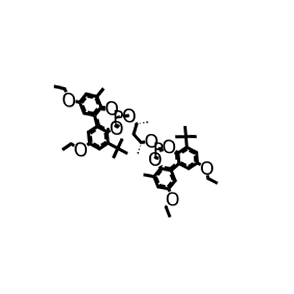 CCOc1cc(C)c2op(O[C@H](C)C[C@@H](C)Op3oc4c(C)cc(OCC)cc4c4cc(OCC)cc(C(C)(C)C)c4o3)oc3c(C(C)(C)C)cc(OCC)cc3c2c1